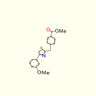 COC(=O)c1ccc(Cc2nc(-c3cccc(OC)c3)cs2)cc1